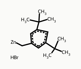 Br.CC(C)(C)c1cc([CH2][Zn])cc(C(C)(C)C)c1